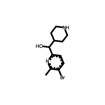 Cc1nc(C(O)C2CCNCC2)ccc1Br